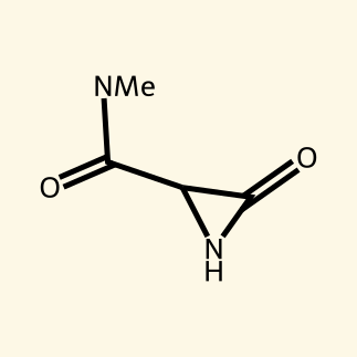 CNC(=O)C1NC1=O